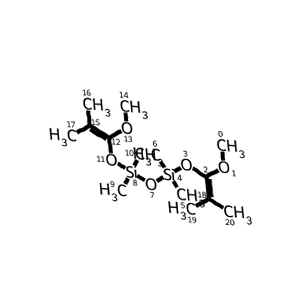 COC(O[Si](C)(C)O[Si](C)(C)OC(OC)=C(C)C)=C(C)C